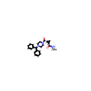 CC(C)(C)NC(=O)[C@@H]1C[C@H]1C(=O)N1CCN(C(c2ccccc2)c2ccccc2)CC1